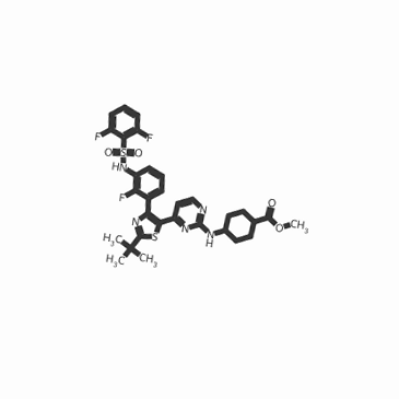 COC(=O)C1CCC(Nc2nccc(-c3sc(C(C)(C)C)nc3-c3cccc(NS(=O)(=O)c4c(F)cccc4F)c3F)n2)CC1